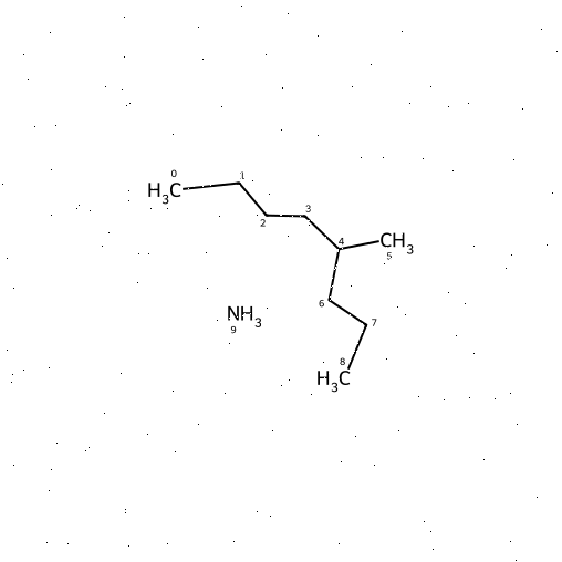 CCCCC(C)CCC.N